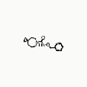 O=C(NOCc1ccccc1)N1CCCC2(CC1)CC2